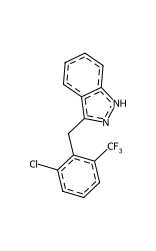 FC(F)(F)c1cccc(Cl)c1Cc1n[nH]c2ccccc12